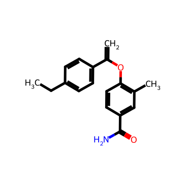 C=C(Oc1ccc(C(N)=O)cc1C)c1ccc(CC)cc1